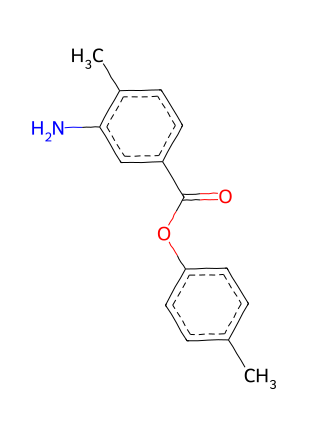 Cc1ccc(OC(=O)c2ccc(C)c(N)c2)cc1